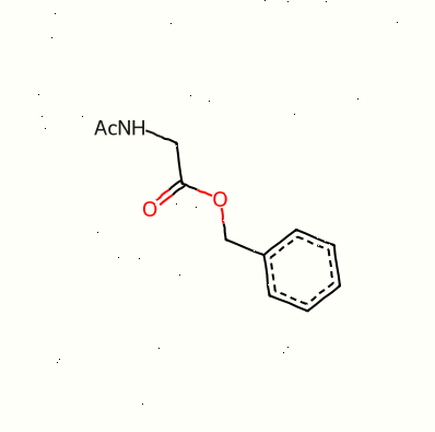 CC(=O)NCC(=O)OCc1ccccc1